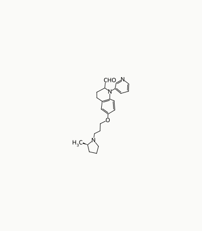 C[C@@H]1CCCN1CCCOc1ccc2c(c1)CCC(C=O)N2c1cccnc1